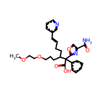 COCCOCCCC(CCC=Cc1cccnc1)C(C(=O)O)(c1ccccc1)c1nc(C(N)=O)co1